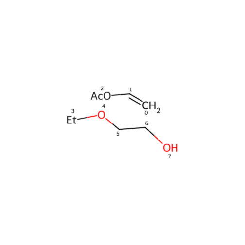 C=COC(C)=O.CCOCCO